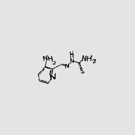 NC(=S)NN=Cc1ncccc1N